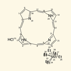 C1=Cc2cc3ccc(cc4nc(cc5ccc(cc1n2)[nH]5)C=C4)[nH]3.C[CH2][Mn]([CH2]C)([CH2]C)([CH2]C)([CH2]C)([CH2]C)([CH2]C)[CH2]C.Cl